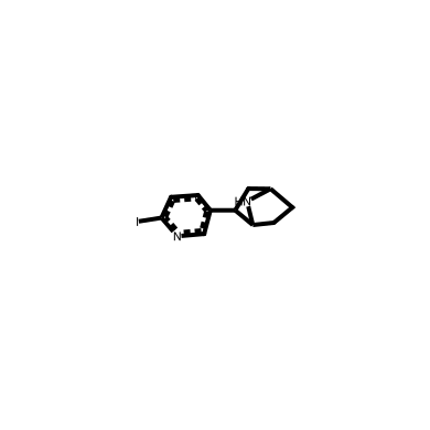 Ic1ccc(C2CC3CCC2N3)cn1